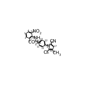 CCOC(=O)c1cccc([N+](=O)[O-])c1NCc1ccc(-n2c(C#N)cc(C)c2Cl)cc1